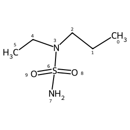 CCCN(CC)S(N)(=O)=O